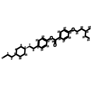 CCC[C@H]1CC[C@H](CCc2ccc(OC(=O)c3ccc(OCC[C@@H](C)CC)cc3)cc2)CC1